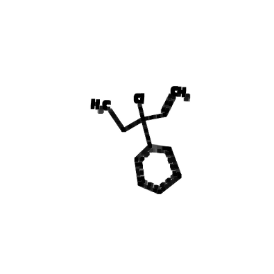 C=CC(Cl)(CC)c1ccccc1